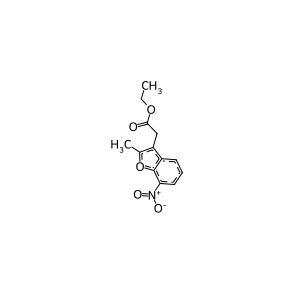 CCOC(=O)Cc1c(C)oc2c([N+](=O)[O-])cccc12